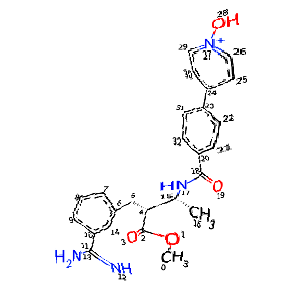 COC(=O)[C@H](Cc1cccc(C(=N)N)c1)[C@@H](C)NC(=O)c1ccc(-c2cc[n+](O)cc2)cc1